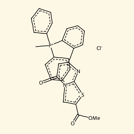 COC(=O)c1cn2c(=O)cc(-c3ccccc3[P+](C)(c3ccccc3)c3ccccc3)nc2s1.[Cl-]